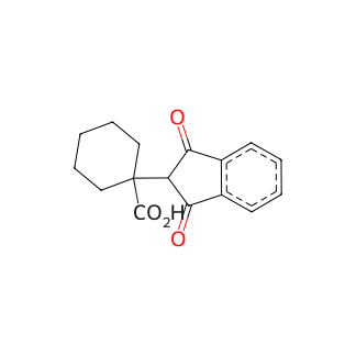 O=C1c2ccccc2C(=O)C1C1(C(=O)O)CCCCC1